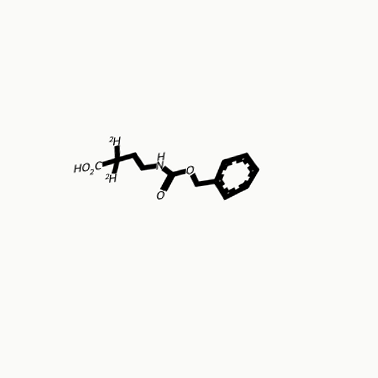 [2H]C([2H])(CCNC(=O)OCc1ccccc1)C(=O)O